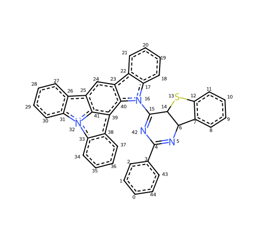 c1ccc(C2=NC3c4ccccc4SC3C(n3c4ccccc4c4cc5c6ccccc6n6c7ccccc7c(c43)c56)=N2)cc1